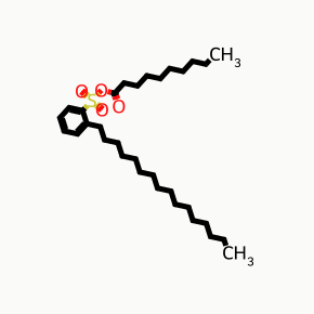 CCCCCCCCCCCCCCCCc1ccccc1S(=O)(=O)OC(=O)CCCCCCCCC